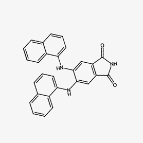 O=C1NC(=O)c2cc(Nc3cccc4ccccc34)c(Nc3cccc4ccccc34)cc21